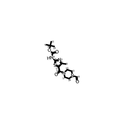 Cc1nc(NC(=O)OC(C)(C)C)sc1C(=O)N1CCN(C=O)CC1